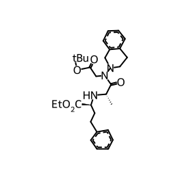 CCOC(=O)[C@H](CCc1ccccc1)N[C@@H](C)C(=O)N(CC(=O)OC(C)(C)C)N1CCc2ccccc2C1